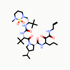 C=CCNC(=O)C(=O)C(CCC)NC(=O)[C@@H]1C[C@@H](C(C)C)CN1C(=O)[C@@H](NC(=O)N[C@H](CN1CCCN(C)S1(=O)=O)C(C)(C)C)C(C)(C)C